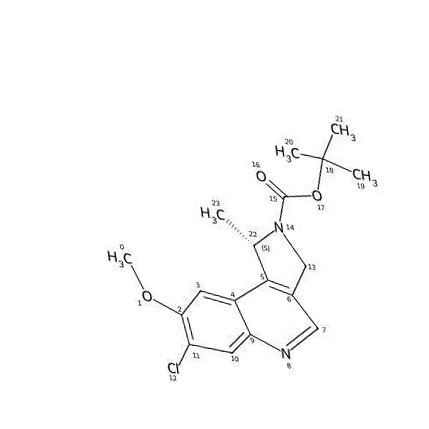 COc1cc2c3c(cnc2cc1Cl)CN(C(=O)OC(C)(C)C)[C@H]3C